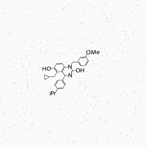 COc1cccc(CN2C(O)=NC(c3ccc(C(C)C)cc3)c3c2ccc(O)c3CC2CC2)c1